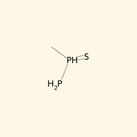 C[PH](P)=S